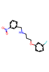 O=[N+]([O-])c1cccc(CNCCCOc2cccc(F)c2)c1